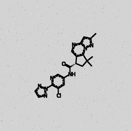 Cc1cc2ncc3c(n2n1)C(C)(C)C[C@@H]3C(=O)Nc1cnc(-n2nccn2)c(Cl)c1